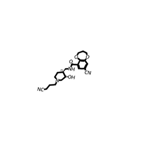 N#CCCCN1CC[C@@H](CNC(=O)c2cc(C#N)cc3c2OCCCO3)[C@H](O)C1